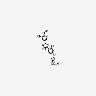 CC(C)Oc1ncc(-c2nc(-c3ccc(OC4CC(C(=O)O)C4)cc3Cl)no2)cc1Cl.[KH]